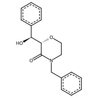 O=C1[C@H]([C@@H](O)c2ccccc2)OCCN1Cc1ccccc1